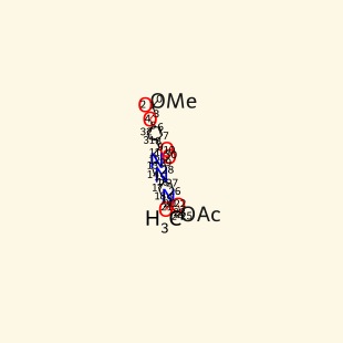 COC(=O)COc1ccc(C(=O)CN2CCN(C3CCN(C(=O)OC(C)OC(C)=O)CC3)CC2=O)cc1